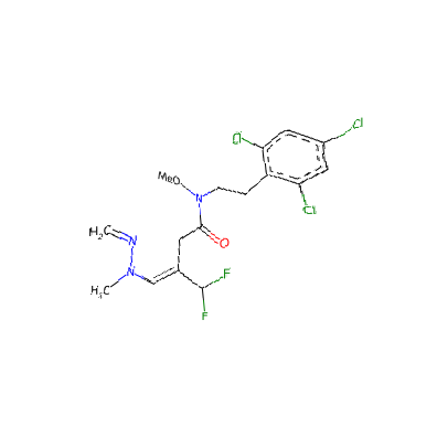 C=NN(C)/C=C(\CC(=O)N(CCc1c(Cl)cc(Cl)cc1Cl)OC)C(F)F